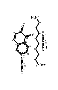 CCCCCCCCCCCCCCCCCCN.O=C1C=Cc2ccccc2C1=O.[N-]=[N+]=N.[N-]=[N+]=[N-]